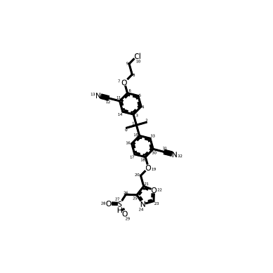 CC(C)(c1ccc(OCCCl)c(C#N)c1)c1ccc(OCc2ocnc2C[SH](=O)=O)c(C#N)c1